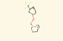 FC(F)(F)c1cccc(COC[C@H]2CC3CCC2C3)c1